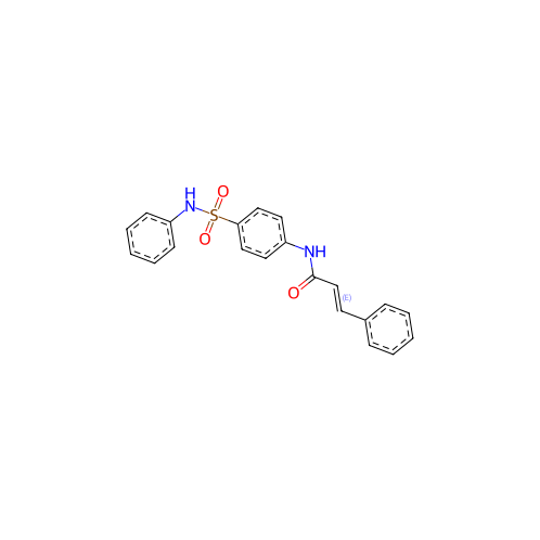 O=C(/C=C/c1ccccc1)Nc1ccc(S(=O)(=O)Nc2ccccc2)cc1